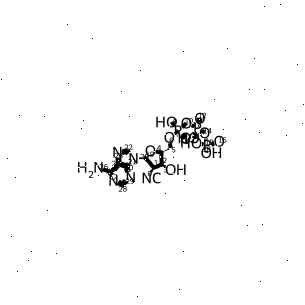 N#C[C@@H]1[C@H](O)[C@@H](COP(=O)(O)OP(=O)(O)OP(=O)(O)O)O[C@H]1n1cnc2c(N)ncnc21